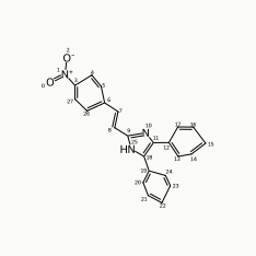 O=[N+]([O-])c1ccc(/C=C/c2nc(-c3ccccc3)c(-c3ccccc3)[nH]2)cc1